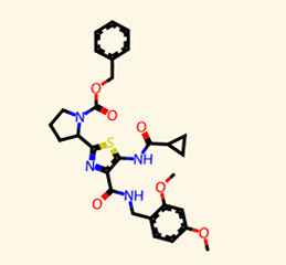 COc1ccc(CNC(=O)c2nc(C3CCCN3C(=O)OCc3ccccc3)sc2NC(=O)C2CC2)c(OC)c1